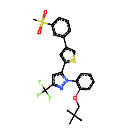 CC(C)(C)COc1ccccc1-n1nc(C(F)(F)F)cc1-c1cc(-c2cccc(S(C)(=O)=O)c2)cs1